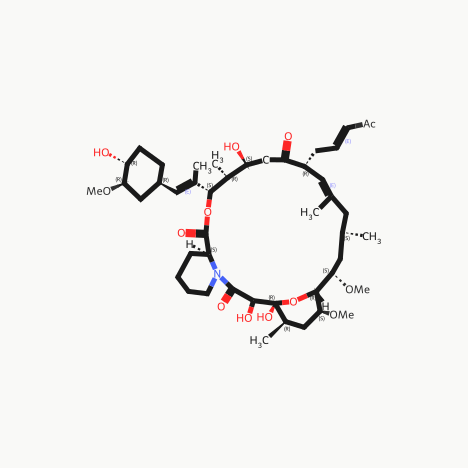 CO[C@H]1C[C@@H](C)C/C(C)=C/[C@@H](C/C=C/C(C)=O)C(=O)C[C@H](O)[C@@H](C)[C@@H](/C(C)=C/[C@@H]2CC[C@@H](O)[C@H](OC)C2)OC(=O)[C@@H]2CCCCN2C(=O)C(O)[C@]2(O)O[C@H]1[C@@H](OC)C[C@H]2C